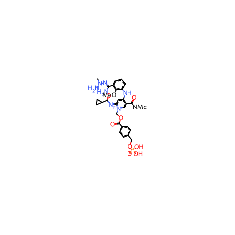 CNC(=O)c1cn(COC(=O)c2ccc(COP(=O)(O)O)cc2)/c(=N/C(=O)C2CC2)cc1Nc1cccc(/C(N)=N/N(C)N)c1OC